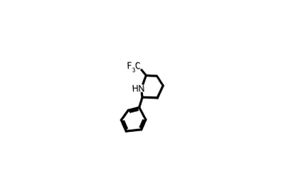 FC(F)(F)C1CCCC(c2ccccc2)N1